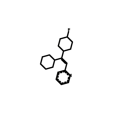 FC1CCC(C(=Cc2ccccn2)C2CCCCC2)CC1